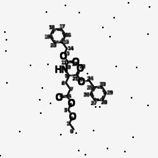 CCOCOC(=O)CCC(NC(=O)OCc1ccccc1)C(=O)OCc1ccccc1